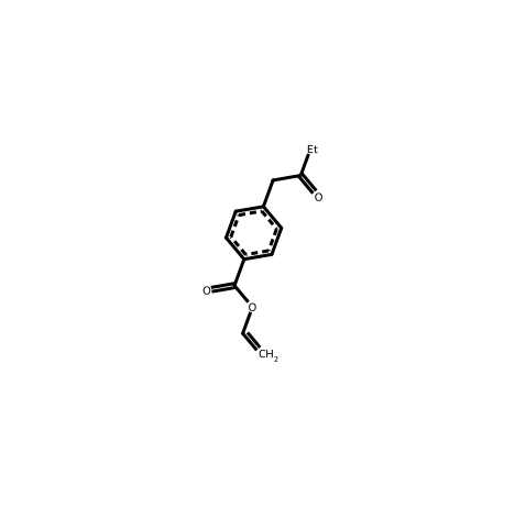 C=COC(=O)c1ccc(CC(=O)CC)cc1